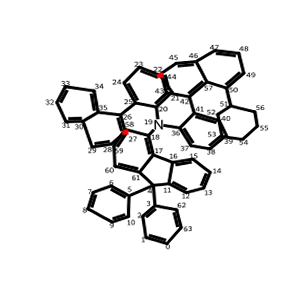 c1ccc(C2(c3ccccc3)c3ccccc3-c3c(N(c4ccccc4-c4cccc5ccccc45)c4ccccc4-c4cccc5cccc(C6CCCCC6)c45)cccc32)cc1